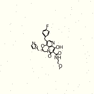 COCCNC(=O)c1c(O)c2ncc(Cc3ccc(F)cc3)c3c2n(c1=O)C[C@H](Cn1ccnc1)O3